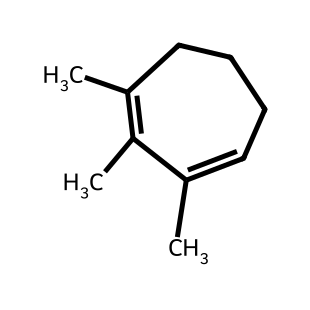 CC1=CCCCC(C)=C1C